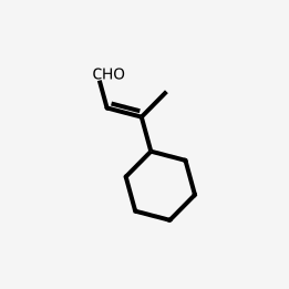 CC(=CC=O)C1CCCCC1